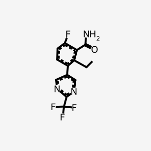 CCc1c(-c2cnc(C(F)(F)F)nc2)ccc(F)c1C(N)=O